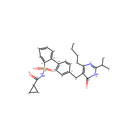 CCCCc1nc(C(C)C)[nH]c(=O)c1Cc1ccc(-c2ccccc2S(=O)(=O)NC(=O)C2CC2)cc1